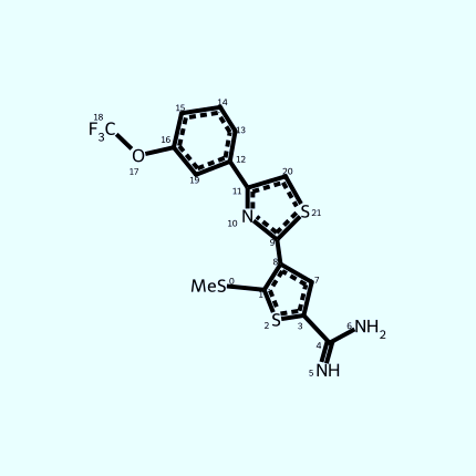 CSc1sc(C(=N)N)cc1-c1nc(-c2cccc(OC(F)(F)F)c2)cs1